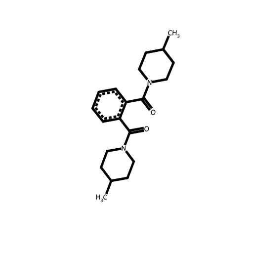 CC1CCN(C(=O)c2ccccc2C(=O)N2CCC(C)CC2)CC1